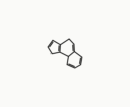 [CH]1C=CC2=C1C1C=CC=CC1=CC2